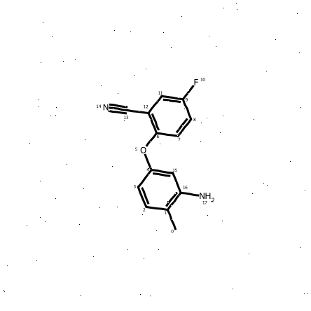 Cc1ccc(Oc2ccc(F)cc2C#N)cc1N